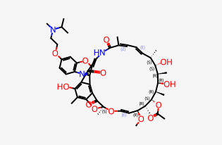 CO[C@H]1/C=C/O[C@@]2(C)Oc3c(C)c(O)c4c(=O)c(c5oc6cc(OCCN(C)C(C)C)ccc6nc-5c4c3C2=O)NC(=O)/C(C)=C\C=C\[C@H](C)[C@H](O)[C@@H](C)[C@@H](O)[C@@H](C)[C@H](OC(C)=O)[C@@H]1C